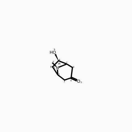 CN1C2CC(=O)CC1[C@H](O)C2